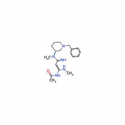 CN/C(=C\C(=N)N(C)[C@H]1CCCN(Cc2ccccc2)C1)NC(C)=O